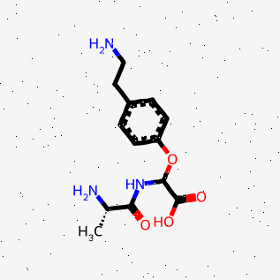 C[C@H](N)C(=O)NC(Oc1ccc(CCN)cc1)C(=O)O